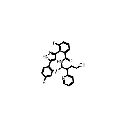 C[C@@H](NC(=O)c1cccc(F)c1-c1cc(-c2ccc(F)cc2)[nH]n1)C(CCO)c1ccccn1